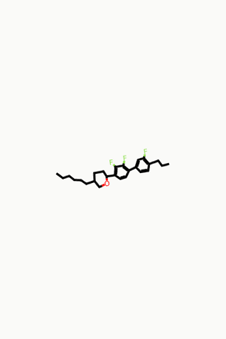 CCCCCCC1CCC(c2ccc(-c3ccc(CCC)c(F)c3)c(F)c2F)OC1